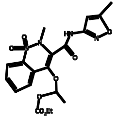 CCOC(=O)OC(C)OC1=C(C(=O)Nc2cc(C)on2)N(C)S(=O)(=O)c2ccccc21